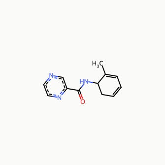 CC1=CC=CCC1NC(=O)c1cnccn1